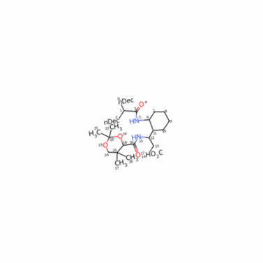 CCCCCCCCCCC(CCCCCCCCCC)C(=O)NC1CCCCC1C(CC(=O)O)NC(=O)C1OC(C)(C)OCC1(C)C